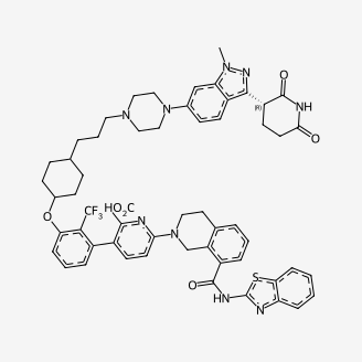 Cn1nc([C@H]2CCC(=O)NC2=O)c2ccc(N3CCN(CCCC4CCC(Oc5cccc(-c6ccc(N7CCc8cccc(C(=O)Nc9nc%10ccccc%10s9)c8C7)nc6C(=O)O)c5C(F)(F)F)CC4)CC3)cc21